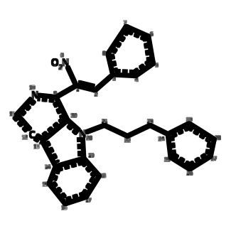 O=[N+]([O-])C(=Cc1ccccc1)c1nccc2c3ccccc3n(CCCc3ccccc3)c12